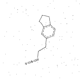 [N-]=[N+]=NCCc1ccc2c(c1)CCC2